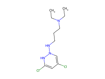 CCN(CC)CCCNN1C=C(Cl)C=C(Cl)N1